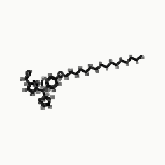 CCCCCCCCCCCCCCCCOc1ccc(C(c2ccc(C=O)[nH]2)c2cccs2)cc1